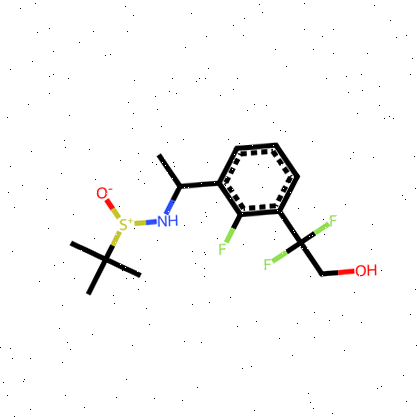 CC(N[S+]([O-])C(C)(C)C)c1cccc(C(F)(F)CO)c1F